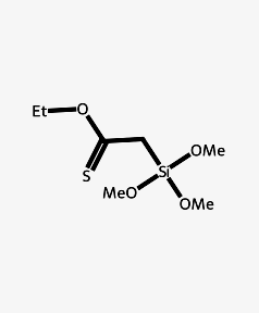 CCOC(=S)C[Si](OC)(OC)OC